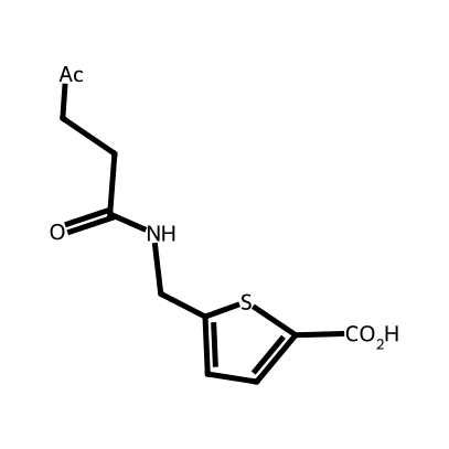 CC(=O)CCC(=O)NCc1ccc(C(=O)O)s1